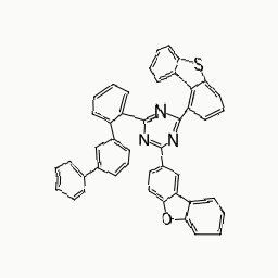 c1ccc(-c2cccc(-c3ccccc3-c3nc(-c4ccc5oc6ccccc6c5c4)nc(-c4cccc5sc6ccccc6c45)n3)c2)cc1